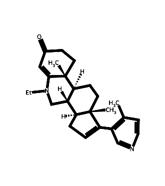 CCN1C[C@@H]2[C@H](CC[C@]3(C)C(c4cnccc4C)=CC[C@@H]23)[C@@]2(C)CCC(=O)C=C12